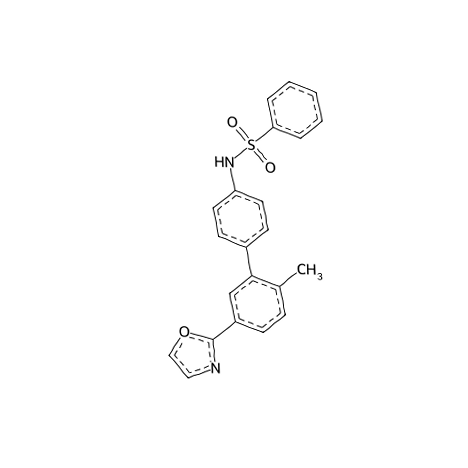 Cc1ccc(-c2ncco2)cc1-c1ccc(NS(=O)(=O)c2ccccc2)cc1